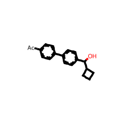 CC(=O)c1ccc(-c2ccc(C(O)C3CCC3)cc2)cc1